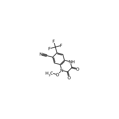 COn1c(=O)c(=O)[nH]c2cc(C(F)(F)F)c(C#N)cc21